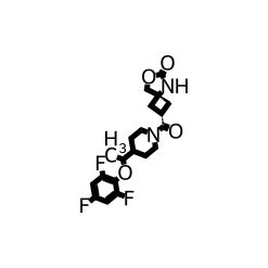 CC(Oc1c(F)cc(F)cc1F)C1CCN(C(=O)[C@H]2C[C@]3(COC(=O)N3)C2)CC1